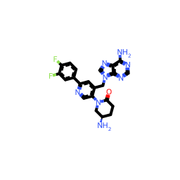 Nc1ncnc2c1ncn2Cc1cc(-c2ccc(F)c(F)c2)ncc1N1C[C@H](N)CCC1=O